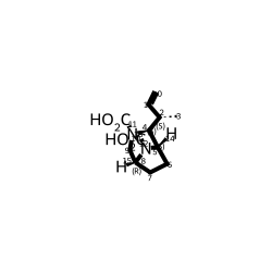 C=C[C@H](C)[C@H]1[C@@H]2CC[C@H](CN1C(=O)O)N2C(=O)O